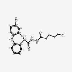 O=C(CCCCCl)NNC(=O)C1Nc2cc(Cl)ccc2Oc2ccccc21